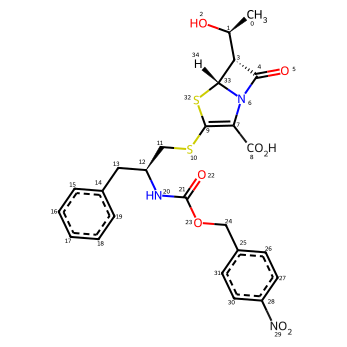 C[C@H](O)[C@@H]1C(=O)N2C(C(=O)O)=C(SC[C@H](Cc3ccccc3)NC(=O)OCc3ccc([N+](=O)[O-])cc3)S[C@H]12